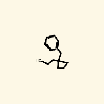 OCCC1(Cc2ccccc2)CCC1